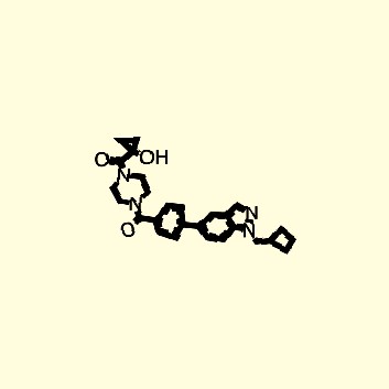 O=C(c1ccc(-c2ccc3c(cnn3CC3CCC3)c2)cc1)N1CCN(C(=O)C2(O)CC2)CC1